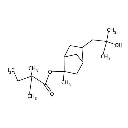 CCC(C)(C)C(=O)OC1(C)CC2CC1CC2CC(C)(C)O